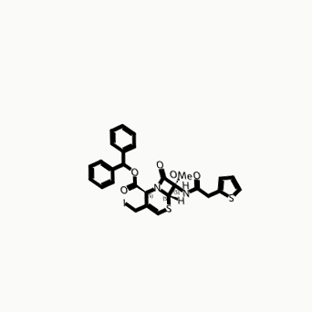 CO[C@@]1(NC(=O)Cc2cccs2)C(=O)N2[C@H](C(=O)OC(c3ccccc3)c3ccccc3)C(CI)=CS[C@H]21